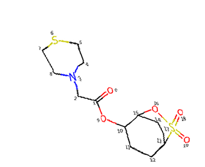 O=C(CN1CCSCC1)OC1CCC2CC1OS2(=O)=O